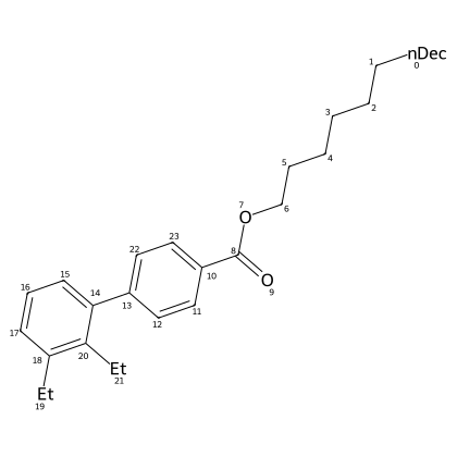 CCCCCCCCCCCCCCCCOC(=O)c1ccc(-c2cccc(CC)c2CC)cc1